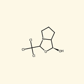 O[C@H]1OC(C(Cl)(Cl)Cl)N2CCCC12